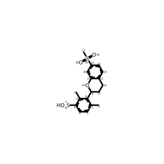 Cc1ccc(S(=O)(=O)O)c(C)c1C1CCc2ccc(S(C)(=O)=O)cc2O1